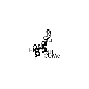 COC(=O)Nc1ccc(/C(=C2/C(=O)Nc3cc(F)ccc32)N(C)c2ccc(NC(=O)CN3CCN(C)CC3)cc2)cc1